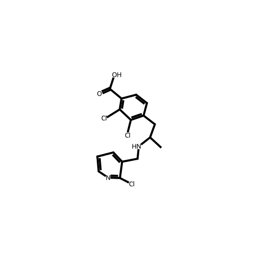 CC(Cc1ccc(C(=O)O)c(Cl)c1Cl)NCc1cccnc1Cl